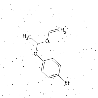 C=COC(C)Oc1ccc(CC)cc1